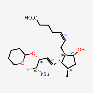 CCCC[C@H](F)[C@@H](/C=C/[C@@H]1[C@@H](C/C=C\CCCC(=O)O)[C@@H](O)C[C@H]1C)OC1CCCCO1